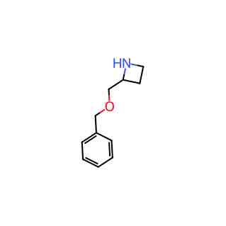 c1ccc(COCC2CCN2)cc1